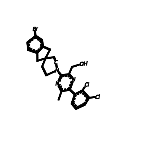 Cc1nc(N2CCC3(CC2)Cc2ccc(Br)cc2C3)c(CO)nc1-c1cccc(Cl)c1Cl